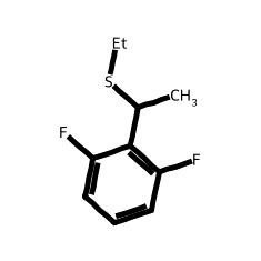 CCSC(C)c1c(F)cccc1F